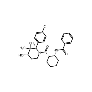 CC1(C)C(c2ccc(Cl)cc2)N(C(=O)[C@H]2CCCC[C@H]2NC(=O)c2ccccc2)CC[C@@H]1O